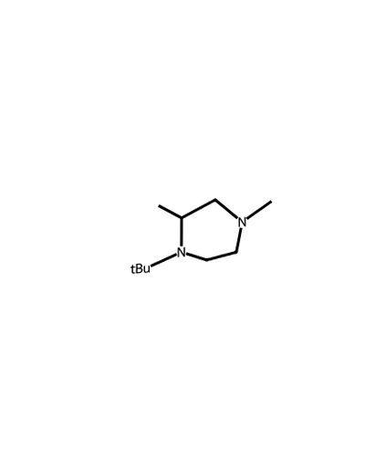 CC1CN(C)CCN1C(C)(C)C